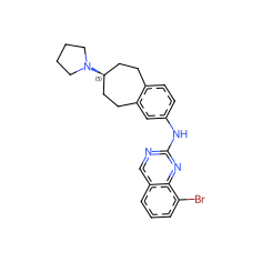 Brc1cccc2cnc(Nc3ccc4c(c3)CC[C@@H](N3CCCC3)CC4)nc12